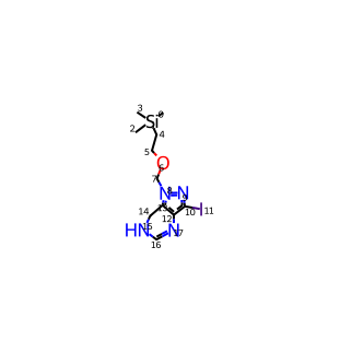 C[Si](C)(C)CCOCn1nc(I)c2c1CNC=N2